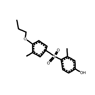 CCCOc1ccc(S(=O)(=O)c2ccc(O)cc2C)cc1C